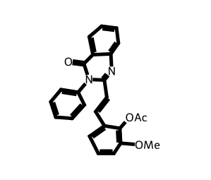 COc1cccc(/C=C/c2nc3ccccc3c(=O)n2-c2ccccc2)c1OC(C)=O